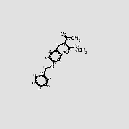 COC(=O)C(Cc1ccc(OCc2ccccc2)cc1)C(C)=O